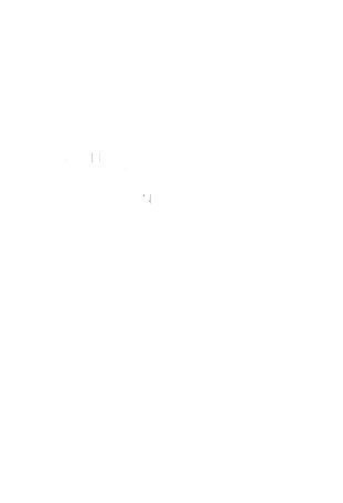 C=C(O)C1C(CCOC)c2c(C)cc(C)cc2-c2c3sc(-c4ccc(-c5ccccc5)cc4)c(C)c3cc[n+]21